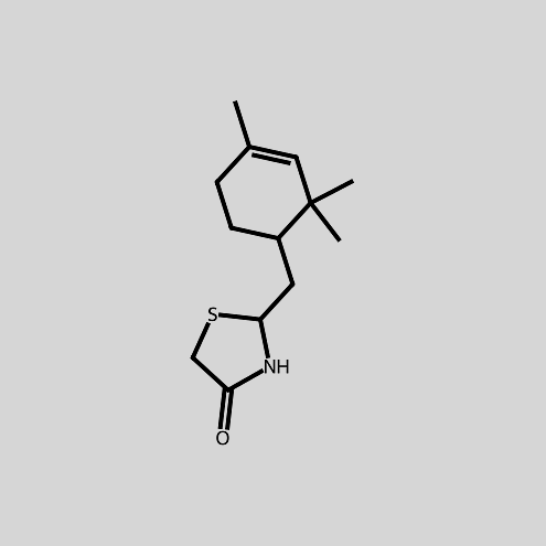 CC1=CC(C)(C)C(CC2NC(=O)CS2)CC1